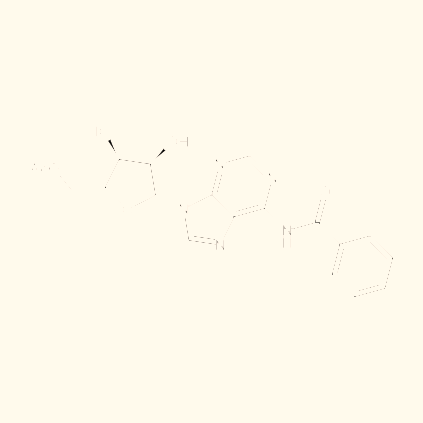 CC(=O)OC[C@H]1O[C@@H](n2cnc3c(NC(=O)c4ccccc4)ncnc32)[C@H](O)[C@@H]1O